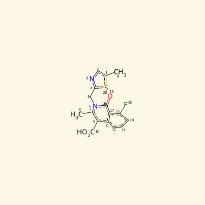 Cc1cnc(Cn2c(C)c(C(=O)O)c3cccc(F)c3c2=O)s1